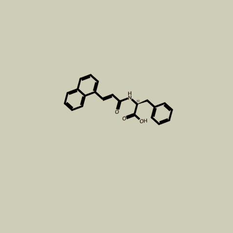 O=C(C=Cc1cccc2ccccc12)N[C@@H](Cc1ccccc1)C(=O)O